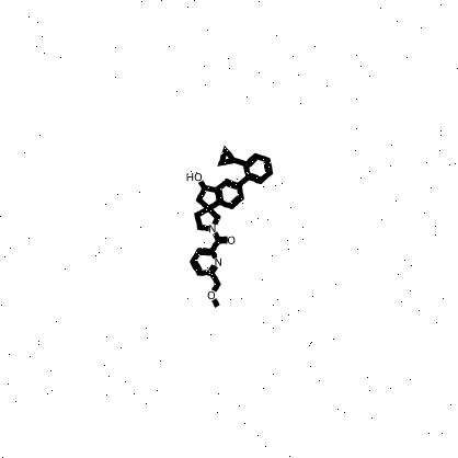 COCc1cccc(C(=O)N2CCC3(CC(O)c4cc(-c5ccccc5C5CC5)ccc43)C2)n1